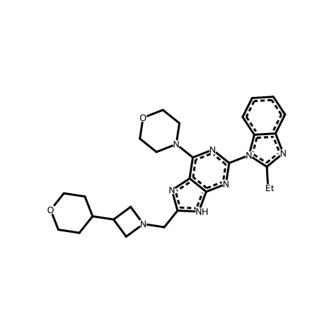 CCc1nc2ccccc2n1-c1nc(N2CCOCC2)c2nc(CN3CC(C4CCOCC4)C3)[nH]c2n1